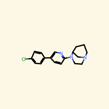 Clc1ccc(-c2ccc(N3CCN4CCCC3C4)nc2)cc1